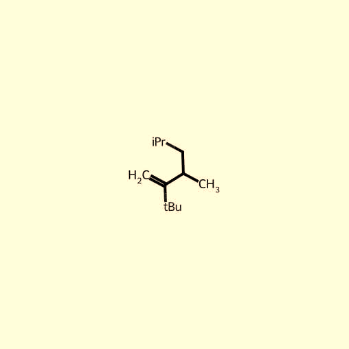 C=C(C(C)CC(C)C)C(C)(C)C